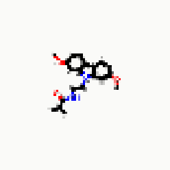 COc1ccc2c3ccc(OC)cc3n(CCNC(=O)C(C)C)c2c1